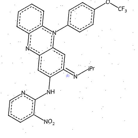 CC(C)/N=c1\cc2n(-c3ccc(OC(F)(F)F)cc3)c3ccccc3nc-2cc1Nc1ncccc1[N+](=O)[O-]